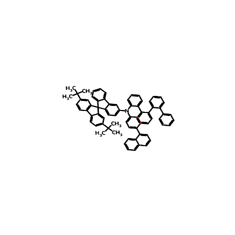 CC(C)(C)c1ccc2c(c1)C1(c3ccccc3-c3cc(N(c4ccc(-c5cccc6ccccc56)cc4)c4ccccc4-c4ccccc4-c4ccccc4-c4ccccc4)ccc31)c1cc(C(C)(C)C)ccc1-2